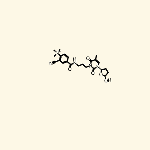 Cc1cn([C@H]2CC[C@@H](O)O2)c(=O)n(CCCNC(=O)c2ccc([N+](C)(C)C)c(C#N)c2)c1=O